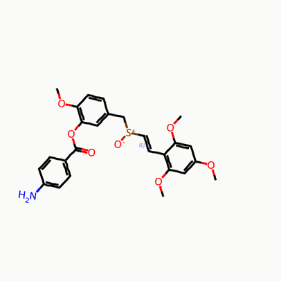 COc1cc(OC)c(/C=C/[S+]([O-])Cc2ccc(OC)c(OC(=O)c3ccc(N)cc3)c2)c(OC)c1